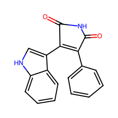 O=C1NC(=O)C(c2c[nH]c3ccccc23)=C1c1ccccc1